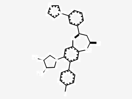 O=C1CC(c2cccc(-n3ccnc3)c2)=Nc2cc(N3C[C@@H](O)[C@@H](O)C3)c(-c3ccc(F)cc3)cc2N1